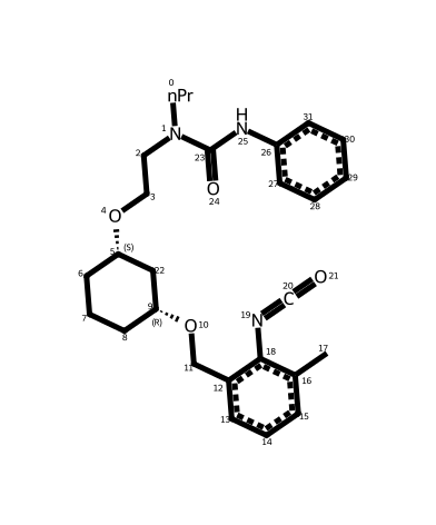 CCCN(CCO[C@H]1CCC[C@@H](OCc2cccc(C)c2N=C=O)C1)C(=O)Nc1ccccc1